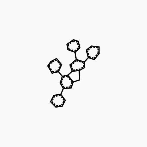 [CH]1c2cc(-c3ccccc3)c(-c3ccccc3)cc2-c2c1cc(-c1ccccc1)cc2-c1ccccc1